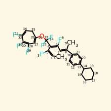 C\C=C(F)/C(=C(F)\C=C(/C)c1ccc(C2CCCCC2)cc1)C(F)(F)OC1=CC(F)=C(F)C(F)=CC1